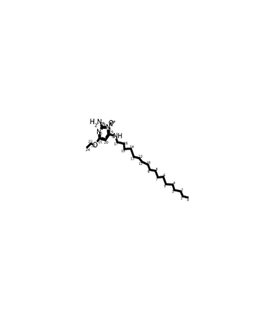 CCCCCCCCCCCCCCCCCCNc1cc(OCC)nc(N)[n+]1[O-]